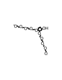 COCCOCCOCCOCCOc1ccc(O)cc1OCCOCCOCCOCCOC